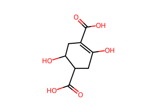 O=C(O)C1=C(O)CC(C(=O)O)C(O)C1